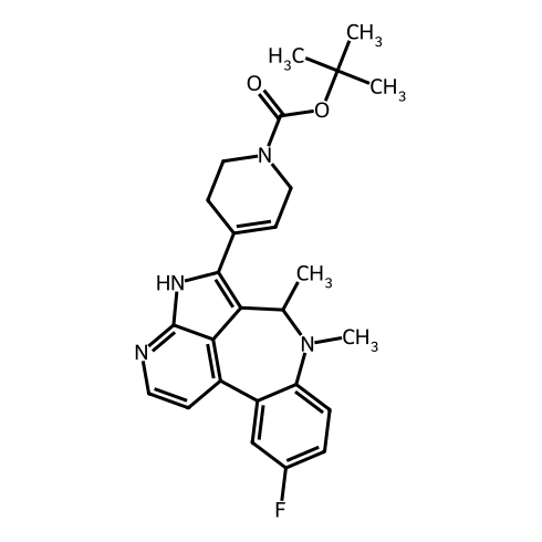 CC1c2c(C3=CCN(C(=O)OC(C)(C)C)CC3)[nH]c3nccc(c23)-c2cc(F)ccc2N1C